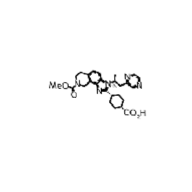 COC(=O)N1CCc2ccc3c(nc([C@H]4CC[C@H](C(=O)O)CC4)n3[C@@H](C)Cc3cnccn3)c2C1